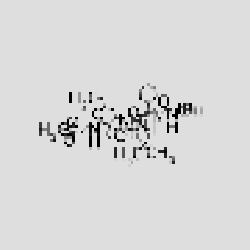 C=CCCC(NC(=O)[C@@H]1C2C(CN1C(=O)[C@@H](NC(=O)NC(C)(C)C)C1CCCCC1)C2(C)C)C(=O)C(=O)NCCS(C)(=O)=O